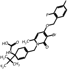 Cc1cc(OCc2ccc(F)cc2F)c(Br)c(=O)n1CC1=CCC(NC(=O)O)(C(C)(C)C)C=C1